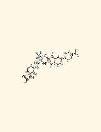 COc1cc(N2CCN(C(C)C)CC2)ccc1Nc1ncc(C(F)(F)F)c(NCc2cccc(NC(C)=O)c2C)n1